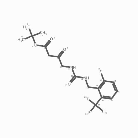 CC(C)(C)OC(=O)CC(=O)CNC(=O)NCc1c(F)cccc1C(F)(F)F